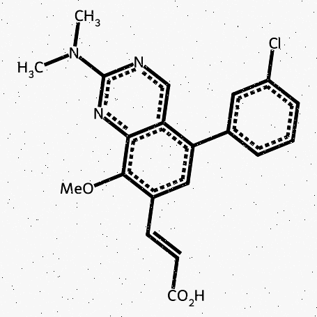 COc1c(/C=C/C(=O)O)cc(-c2cccc(Cl)c2)c2cnc(N(C)C)nc12